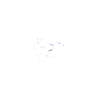 CC(C)(C)c1cc(N=C=S)nn1C1CCOC12CC2